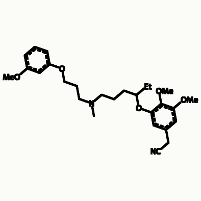 CCC(CCCN(C)CCCOc1cccc(OC)c1)Oc1cc(CC#N)cc(OC)c1OC